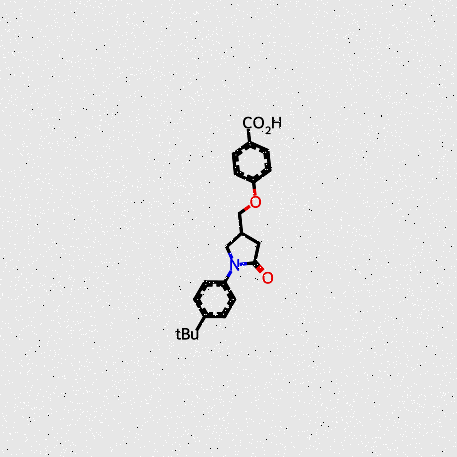 CC(C)(C)c1ccc(N2CC(COc3ccc(C(=O)O)cc3)CC2=O)cc1